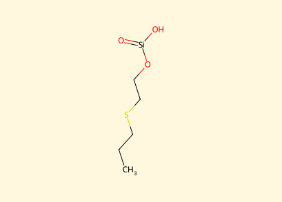 CCCSCCO[Si](=O)O